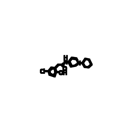 O=C(Cc1cc(Cl)ccc1O)NC1=CCN(C2CCCCC2)C=C1